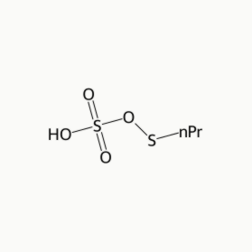 CCCSOS(=O)(=O)O